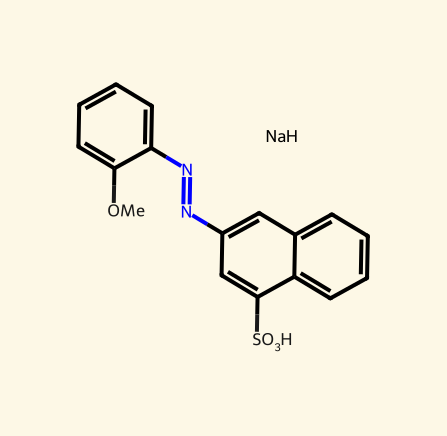 COc1ccccc1N=Nc1cc(S(=O)(=O)O)c2ccccc2c1.[NaH]